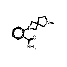 CN1CCC2(C1)CN(c1ccccc1C(N)=O)C2